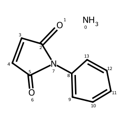 N.O=C1C=CC(=O)N1c1ccccc1